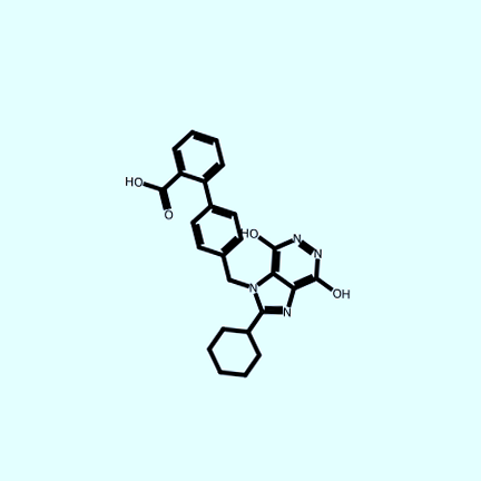 O=C(O)c1ccccc1-c1ccc(Cn2c(C3CCCCC3)nc3c(O)nnc(O)c32)cc1